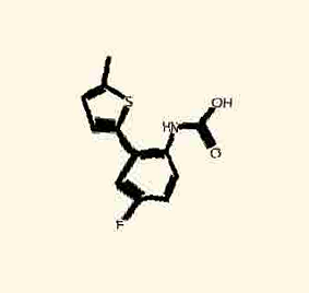 Cc1ccc(-c2cc(F)ccc2NC(=O)O)s1